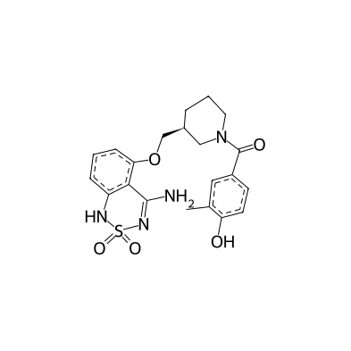 Cc1cc(C(=O)N2CCC[C@H](COc3cccc4c3C(N)=NS(=O)(=O)N4)C2)ccc1O